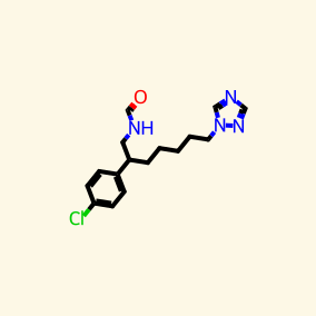 O=CNCC(CCCCCn1cncn1)c1ccc(Cl)cc1